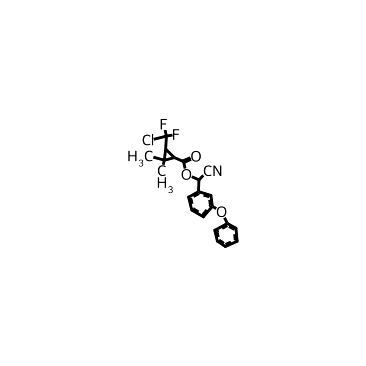 CC1(C)C(C(=O)OC(C#N)c2cccc(Oc3ccccc3)c2)C1C(F)(F)Cl